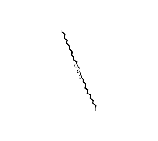 ICCCCCCC=CCCCOCOCOCCCC=CCCCCCCI